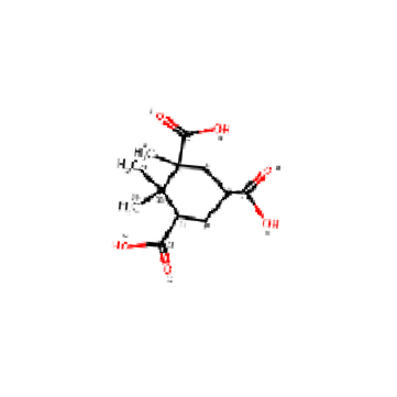 CC1(C(=O)O)CC(C(=O)O)CC(C(=O)O)C1(C)C